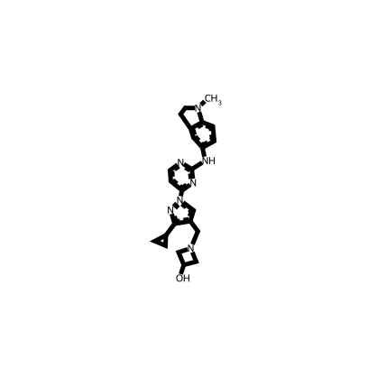 CN1CCc2cc(Nc3nccc(-n4cc(CN5CC(O)C5)c(C5CC5)n4)n3)ccc21